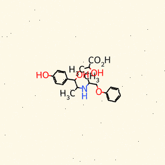 CC(COc1ccccc1)NC(C)C(O)c1ccc(O)cc1.CC(O)C(=O)O